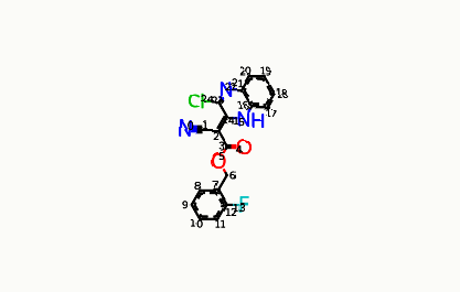 N#CC(C(=O)OCc1ccccc1F)=C1Nc2ccccc2N=C1Cl